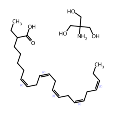 CC/C=C\C/C=C\C/C=C\C/C=C\C/C=C\CCCCC(CC)C(=O)O.NC(CO)(CO)CO